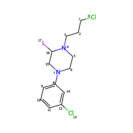 ClCCCN1CCN(c2cccc(Cl)c2)CC1I